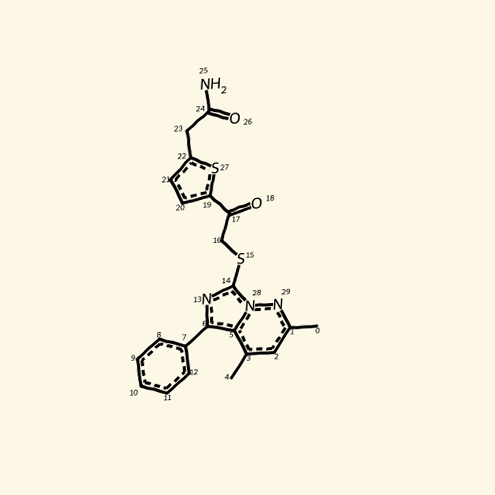 Cc1cc(C)c2c(-c3ccccc3)nc(SCC(=O)c3ccc(CC(N)=O)s3)n2n1